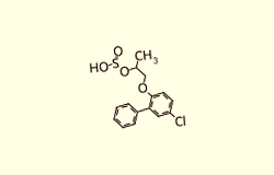 CC(COc1ccc(Cl)cc1-c1ccccc1)OS(=O)O